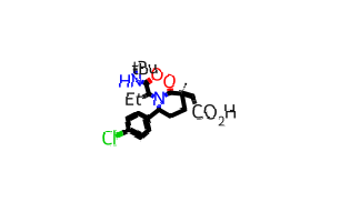 CCC(C(=O)NC(C)(C)C)N1C(=O)[C@@](C)(CC(=O)O)CCC1c1ccc(Cl)cc1